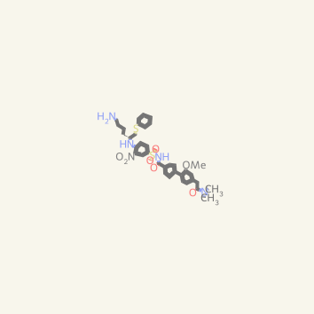 COc1cc(CC(=O)N(C)C)ccc1-c1ccc(C(=O)NS(=O)(=O)c2ccc(N[C@H](CCCCN)CSc3ccccc3)c([N+](=O)[O-])c2)cc1